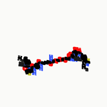 CCN(C(=O)Cn1c(C(=O)N[C@H]2CC[C@H](C(=O)NCCCCCC(=O)NCCOCCOCCOCCC(=O)NC(C(=O)N3C[C@@H](O)[C@H](C(=O)NCc4ccc(-c5scnc5C)cc4)C3)C(C)(C)C)CC2)cc2sccc21)c1cccc(C)c1